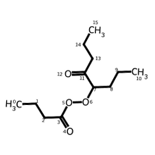 CCCC(=O)OOC(CCC)C(=O)CCC